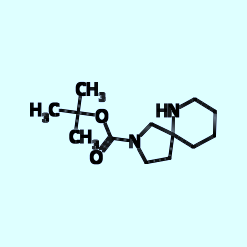 CC(C)(C)OC(=O)N1CCC2(CCCCN2)C1